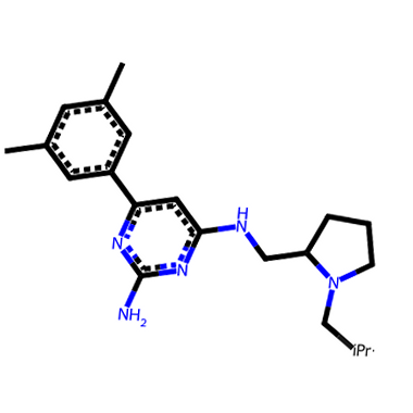 C[C](C)CN1CCCC1CNc1cc(-c2cc(C)cc(C)c2)nc(N)n1